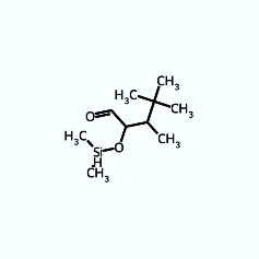 CC(C(C=O)O[SiH](C)C)C(C)(C)C